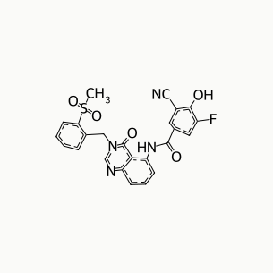 CS(=O)(=O)c1ccccc1Cn1cnc2cccc(NC(=O)c3cc(F)c(O)c(C#N)c3)c2c1=O